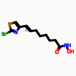 O=C(CCCCC/C=C/c1csc(Br)n1)NO